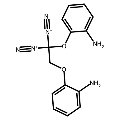 N#[N+]C(COc1ccccc1N)([N+]#N)Oc1ccccc1N